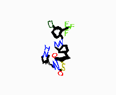 O=C1SC(=Cc2ccc3c(cnn3Cc3ccc(Cl)cc3C(F)(F)F)c2)C(=O)N1C[C@@H]1CCNC1